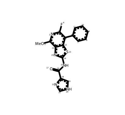 COc1nc(F)c(-c2ccccc2)c2sc(NC(=O)c3c[nH]cn3)nc12